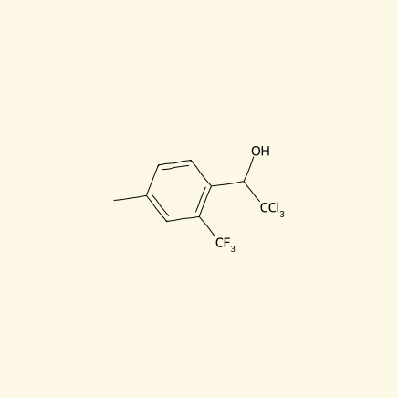 Cc1ccc(C(O)C(Cl)(Cl)Cl)c(C(F)(F)F)c1